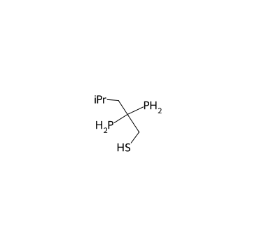 CC(C)CC(P)(P)CS